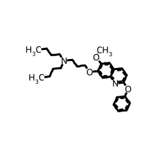 CCCCN(CCCC)CCCOc1cc2nc(Oc3ccccc3)ccc2cc1OC